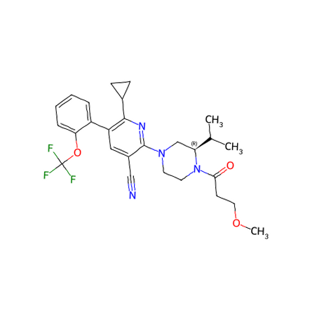 COCCC(=O)N1CCN(c2nc(C3CC3)c(-c3ccccc3OC(F)(F)F)cc2C#N)C[C@H]1C(C)C